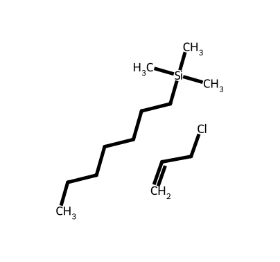 C=CCCl.CCCCCCC[Si](C)(C)C